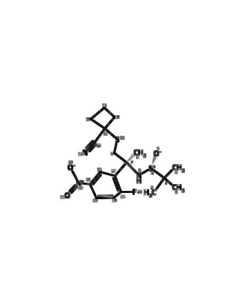 CC(C)(C)[S@@+]([O-])N[C@](C)(CSC1(C#N)CCC1)c1cc([N+](=O)[O-])ccc1F